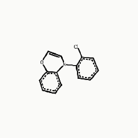 Clc1ccccc1N1C=COc2ccccc21